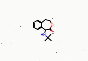 CC(C)(C)NC1C(=O)OCCc2ccccc21